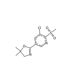 CC1(C)CN=C(c2cnc(S(C)(=O)=O)c(Cl)c2)O1